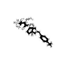 CC(C)(C)[C@H](N)C(=O)N[C@H]1CC[C@@H]2CN(Cc3ccc(C(F)(F)F)cc3)C[C@@H]21